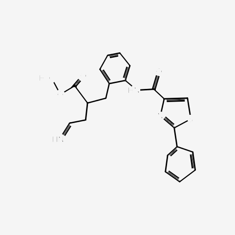 COC(=O)C(CC=N)Cc1ccccc1NC(=O)c1csc(-c2ccccc2)n1